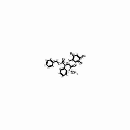 COC(=O)[C@@H](Cc1cc(F)c(F)cc1F)N(C(=O)OCc1ccccc1)c1ccccc1